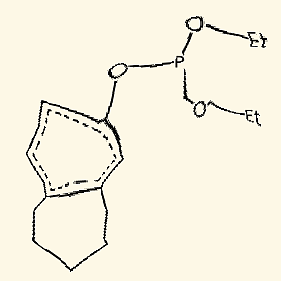 CCOP(OCC)Oc1ccc2c(c1)CCC2